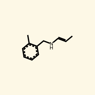 CC=CNCc1ccccc1C